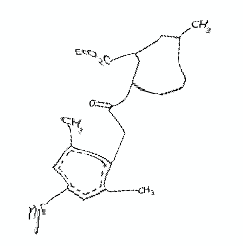 CCOC(=O)C1CC(C)CCC1C(=O)Cc1c(C)cc(C)cc1C